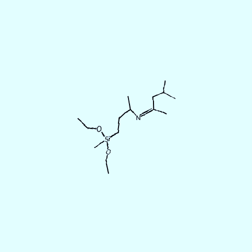 CCO[Si](C)(CCC(C)N=C(C)CC(C)C)OCC